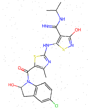 Cc1nc(Nc2snc(O)c2C(=N)NC(C)C)sc1C(=O)N1c2ccc(Cl)cc2CC1O